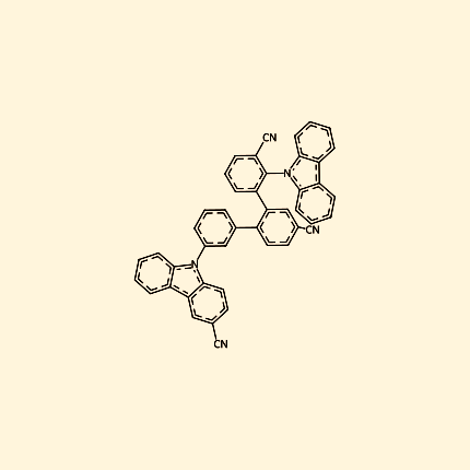 N#Cc1ccc(-c2cccc(-n3c4ccccc4c4cc(C#N)ccc43)c2)c(-c2cccc(C#N)c2-n2c3ccccc3c3ccccc32)c1